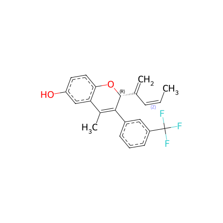 C=C(/C=C\C)[C@H]1Oc2ccc(O)cc2C(C)=C1c1cccc(C(F)(F)F)c1